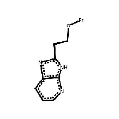 CCOCCc1nc2cccnc2[nH]1